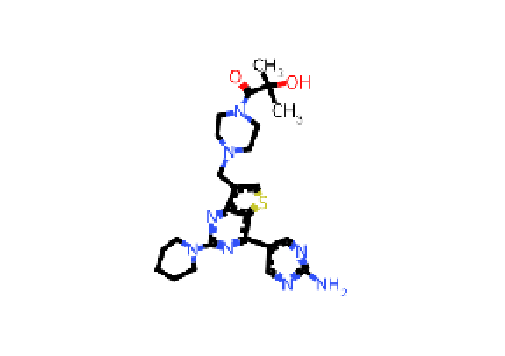 CC(C)(O)C(=O)N1CCN(Cc2csc3c(-c4cnc(N)nc4)nc(N4CCCCC4)nc23)CC1